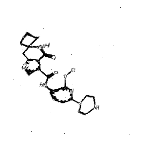 CCOc1nc(N2CCNCC2)ccc1NC(=O)c1coc2c1C(=O)NC1(CCC1)C2